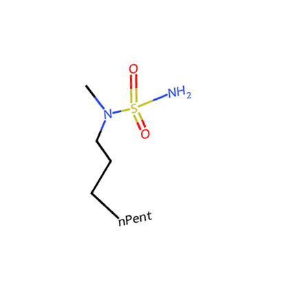 CCCCCCCCN(C)S(N)(=O)=O